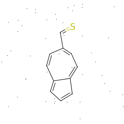 S=Cc1ccc2cccc-2cc1